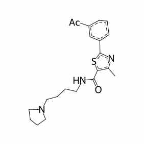 CC(=O)c1cccc(-c2nc(C)c(C(=O)NCCCCN3CCCC3)s2)c1